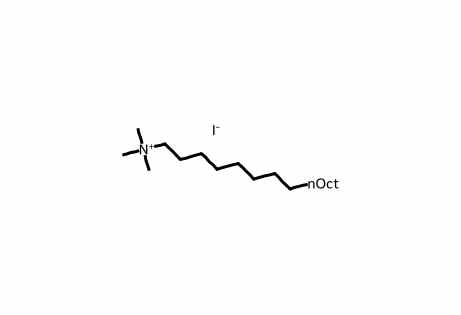 CCCCCCCCCCCCCCCC[N+](C)(C)C.[I-]